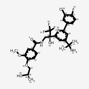 COc1cc(C(=O)NC[C@@](O)(c2cc(C(C)(C)N)cc(-c3ccc(F)c(Cl)c3)n2)C(F)(F)F)ccc1OC[C@@H](C)O